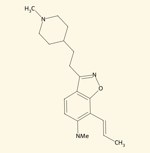 C/C=C/c1c(NC)ccc2c(CCC3CCN(C)CC3)noc12